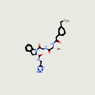 CC[C@H](C)[C@H](NC(=O)Cc1cccc(CC(=O)O)c1)C(=O)NCC(=O)N1c2ccccc2C[C@H]1C(=O)NCc1nn[nH]n1